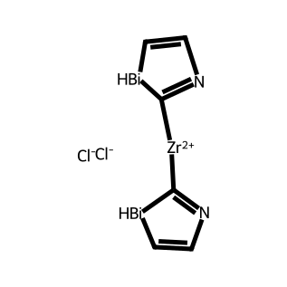 C1=[CH][BiH][C]([Zr+2][C]2=NC=[CH][BiH]2)=N1.[Cl-].[Cl-]